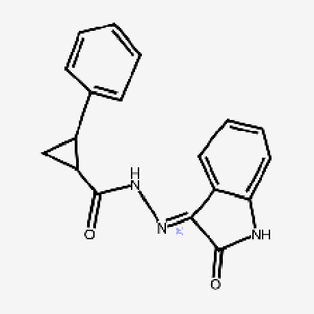 O=C1Nc2ccccc2/C1=N\NC(=O)C1CC1c1ccccc1